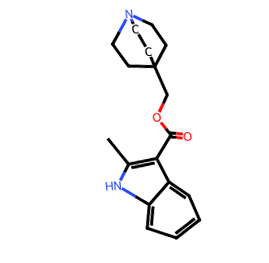 Cc1[nH]c2ccccc2c1C(=O)OCC12CCN(CC1)CC2